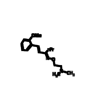 CCCC(/C=C/c1ccccc1OC)=N\OCCN(C)C